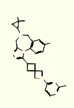 Cc1nccc(N2CC3(CC(c4nnc5n4-c4ccc(Cl)cc4CN(C4CC4(F)F)C5)C3)C2)n1